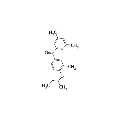 CCC(C)Oc1ccc(C(=O)c2cc(C)cc(C)c2)cc1C